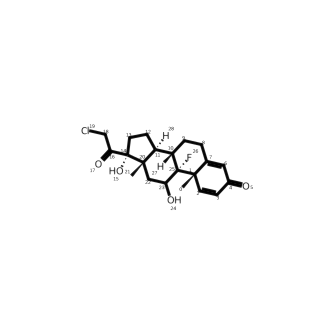 C[C@]12C=CC(=O)C=C1CC[C@H]1[C@@H]3CC[C@](O)(C(=O)CCl)[C@@]3(C)CC(O)[C@@]12F